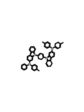 CC1=CC=C(N(c2ccc(C)cc2)c2ccc3c4c(n(C5=CC=C(n6c7ccccc7c7ccc(N(c8ccccc8)c8ccc(C)cc8)cc76)CC5)c3c2)C=CCC4)CC1